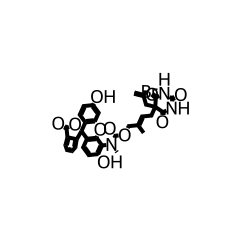 C=C(Br)CC1(C/C=C(\C)COC(=O)N(C)c2c(O)ccc3c2Oc2cc(O)ccc2C32OC(=O)c3ccccc32)C(=O)NC(=O)NC1=O